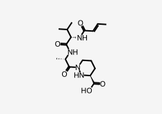 C/C=C/C(=O)N[C@H](C(=O)N[C@@H](C)C(=O)N1CCC[C@@H](C(=O)O)N1)C(C)C